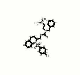 CN(C)CCN(Cc1ccccc1)C(=O)OCC1CCc2ccccc2N1S(=O)(=O)c1ccc(Cl)cc1